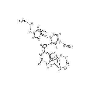 Cc1cc(Oc2cc(C#N)ccc2-c2ncc(CCN)cn2)cc(N2C3CCC2COC3)n1